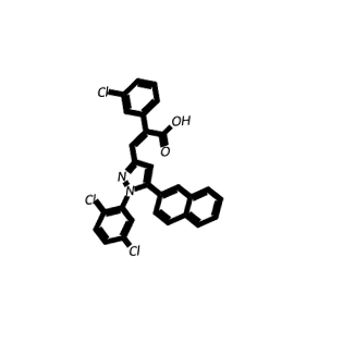 O=C(O)C(=Cc1cc(-c2ccc3ccccc3c2)n(-c2cc(Cl)ccc2Cl)n1)c1cccc(Cl)c1